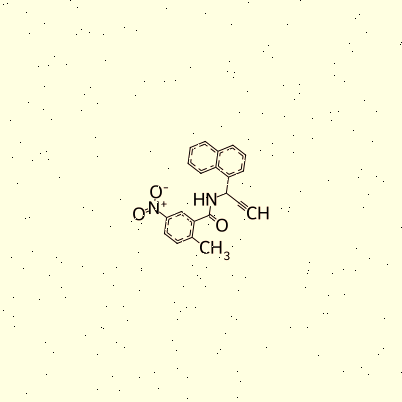 C#CC(NC(=O)c1cc([N+](=O)[O-])ccc1C)c1cccc2ccccc12